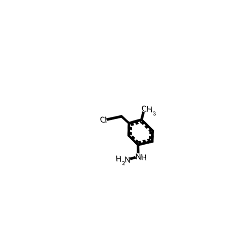 Cc1ccc(NN)cc1CCl